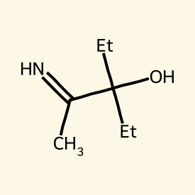 CCC(O)(CC)C(C)=N